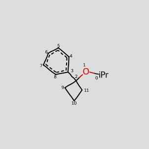 CC(C)OC1(c2ccccc2)CCC1